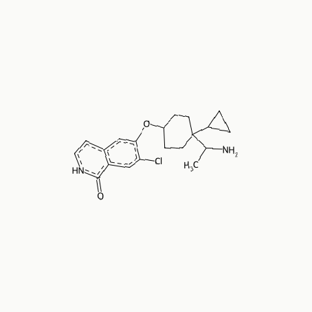 CC(N)C1(C2CC2)CCC(Oc2cc3cc[nH]c(=O)c3cc2Cl)CC1